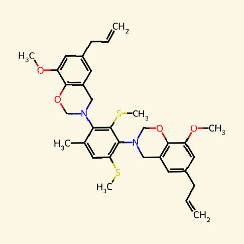 C=CCc1cc2c(c(OC)c1)OCN(c1c(C)cc(SC)c(N3COc4c(cc(CC=C)cc4OC)C3)c1SC)C2